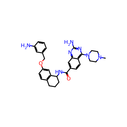 CN1CCN(c2nc(N)nc3cc(C(=O)NC4CCCc5ccc(OCc6cccc(N)c6)cc54)ccc23)CC1